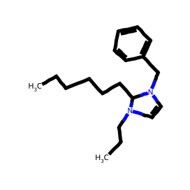 CCCCCCC1N(CCC)C=CN1Cc1ccccc1